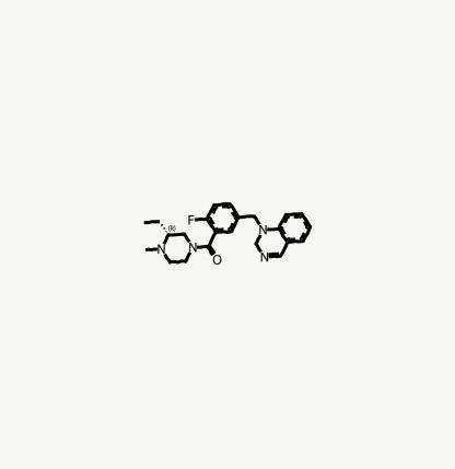 CC[C@@H]1CN(C(=O)c2cc(CN3CN=Cc4ccccc43)ccc2F)CCN1C